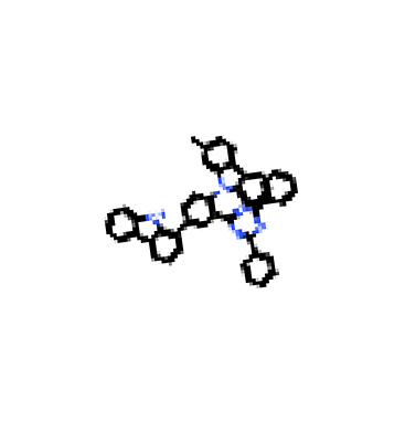 Cc1ccc2c3ccccc3n(-c3ccc(-c4cccc5c4[nH]c4ccccc45)cc3-c3nc(-c4ccccc4)nc(-c4ccccc4)n3)c2c1